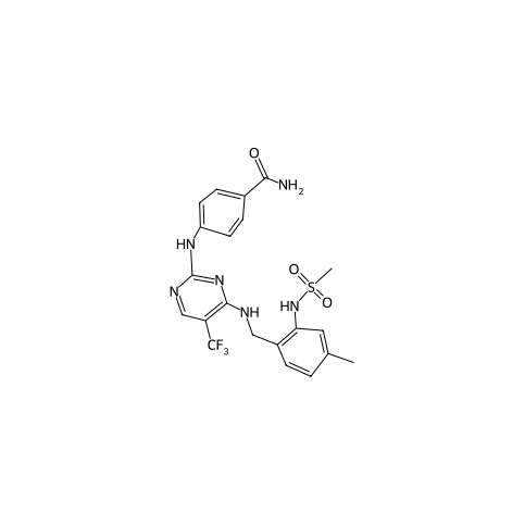 Cc1ccc(CNc2nc(Nc3ccc(C(N)=O)cc3)ncc2C(F)(F)F)c(NS(C)(=O)=O)c1